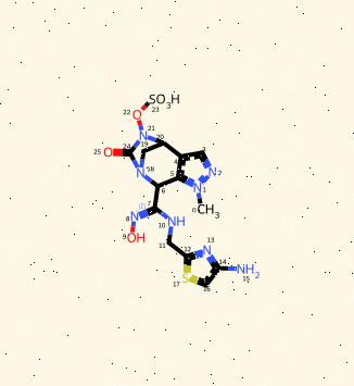 Cn1ncc2c1C(/C(=N/O)NCc1nc(N)cs1)N1CC2N(OS(=O)(=O)O)C1=O